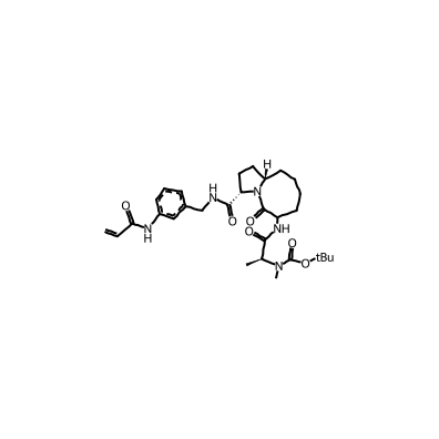 C=CC(=O)Nc1cccc(CNC(=O)[C@@H]2CC[C@@H]3CCCCC(NC(=O)[C@H](C)N(C)C(=O)OC(C)(C)C)C(=O)N32)c1